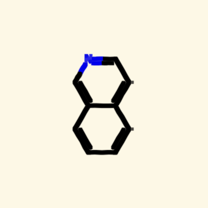 [c]1cccc2cnc[c]c12